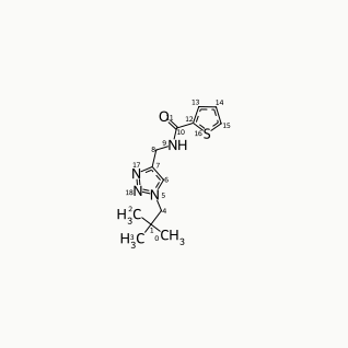 CC(C)(C)Cn1cc(CNC(=O)c2cccs2)nn1